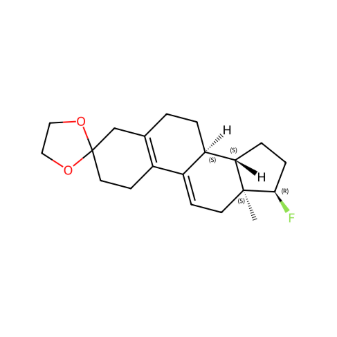 C[C@]12CC=C3C4=C(CC[C@H]3[C@@H]1CC[C@H]2F)CC1(CC4)OCCO1